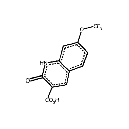 O=C(O)c1cc2ccc(OC(F)(F)F)cc2[nH]c1=O